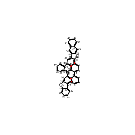 c1ccc(-c2ccccc2N(c2ccc3c(c2)oc2ccccc23)c2ccccc2-c2ccc3oc4cc5ccccc5cc4c3c2)cc1